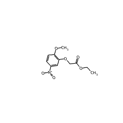 CCOC(=O)COc1cc([N+](=O)[O-])ccc1OC